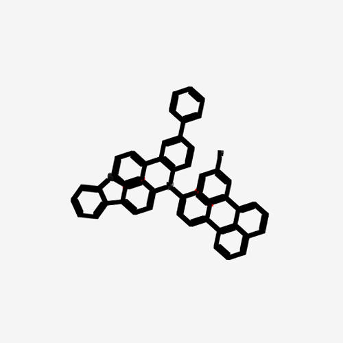 Fc1cccc(-c2cccc3cccc(-c4ccc(N(c5ccc6c(c5)oc5ccccc56)c5ccc(-c6ccccc6)cc5-c5ccccc5)cc4)c23)c1